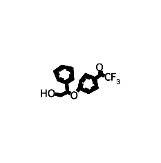 O=C(c1ccc(OC(CO)c2ccccc2)cc1)C(F)(F)F